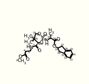 COC(=O)CCNC(=O)[C@@H]1O[P@@](=O)(N[C@@H](C)C(=O)OC2Cc3ccccc3C2)OCC1(C)C